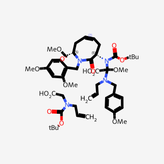 C=CCN(CC(=O)O)C(=O)OC(C)(C)C.C=CCN(Cc1ccc(OC)cc1)C(OC)(C(=O)O)N(C(=O)OC(C)(C)C)[C@H]1C/C=C\C[C@@H](C(=O)OC)N(Cc2ccc(OC)cc2OC)C1=O